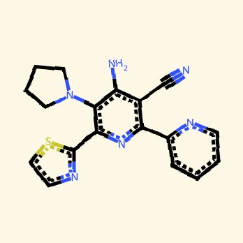 N#Cc1c(-c2ccccn2)nc(-c2nccs2)c(N2CCCC2)c1N